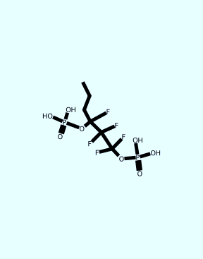 CCCC(F)(OP(=O)(O)O)C(F)(F)C(F)(F)OP(=O)(O)O